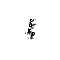 CCN1CCC(Oc2ccc(Nc3ncc(Cl)c(Nc4ccccc4S(=O)(=O)NC(C)C)n3)c(OC(C)C)c2)C1